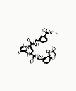 NC(=O)c1cccc(CNC(=O)c2cc(C(=O)NCc3ccc4c(c3)NC(=O)CO4)nc3c(F)cnn23)c1